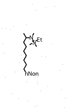 CCCCCCCCCCCCCCCCC(C)N(C)[Si](C)(C)CC